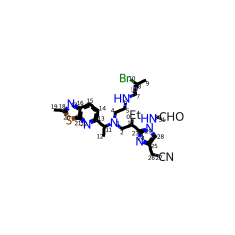 CCC(CN(CCN/C=C(/C)Br)C(C)c1ccc2nc(C)sc2n1)c1nc(CC#N)cn1NC=O